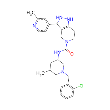 Cc1cc(C2NNC3=C2CN(C(=O)NC2CC(C)CN(Cc4ccccc4Cl)C2)CC3)ccn1